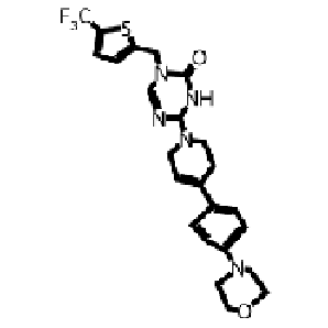 O=C1NC(N2CC=C(c3ccc(N4CCOCC4)cc3)CC2)N=CN1Cc1ccc(C(F)(F)F)s1